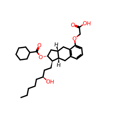 CCCCC[C@H](O)CC[C@@H]1[C@H]2Cc3cccc(OCC(=O)O)c3C[C@H]2C[C@H]1OC(=O)C1CCCCC1